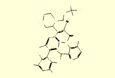 Cc1ccnc(C(C)C)c1-n1c(=O)c(C#N)c(C2CNCCN2C(=O)OC(C)(C)C)c2cc(Cl)c(-c3c(N)c(Cl)cc(Cl)c3F)nc21